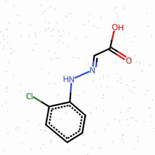 O=C(O)C=NNc1ccccc1Cl